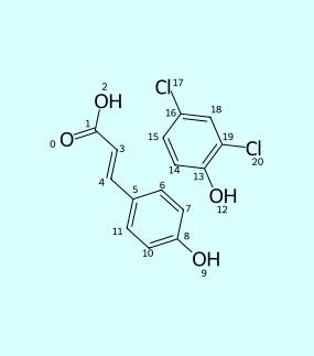 O=C(O)C=Cc1ccc(O)cc1.Oc1ccc(Cl)cc1Cl